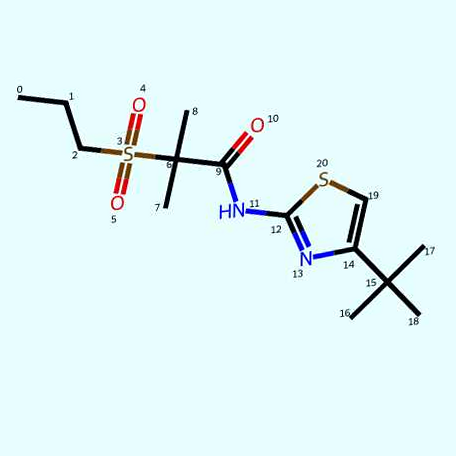 CCCS(=O)(=O)C(C)(C)C(=O)Nc1nc(C(C)(C)C)cs1